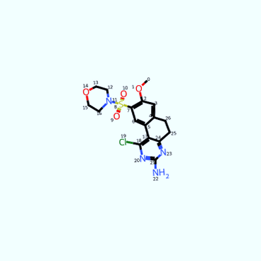 COc1cc2c(cc1S(=O)(=O)N1CCOCC1)-c1c(Cl)nc(N)nc1CC2